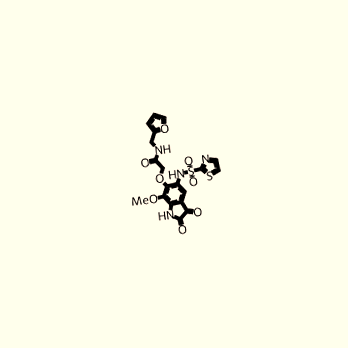 COc1c2c(cc(NS(=O)(=O)c3nccs3)c1OCC(=O)NCc1ccco1)C(=O)C(=O)N2